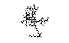 C=CCCCCC(C)C(C)CCCCCCC(CC=C)C(CCCCC(CC)C(CC)CCC=C)(CCCCC(CC)C(CC=C)CCC)C(C)(CCCCCC(C)C(CC)CCC=C)C(C)(CCCCC)CCCCCCC(C)=C(CC)CCCCC